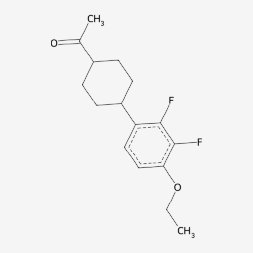 CCOc1ccc(C2CCC(C(C)=O)CC2)c(F)c1F